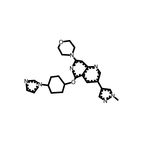 Cn1cc(-c2cnc3cc(N4CCOCC4)nc(OC4CCC(n5ccnc5)CC4)c3c2)cn1